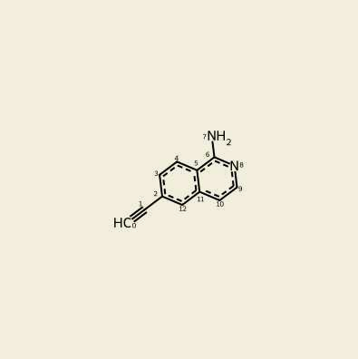 C#Cc1ccc2c(N)nccc2c1